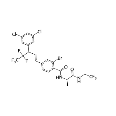 C[C@@H](NC(=O)c1ccc(/C=C/C(c2cc(Cl)cc(Cl)c2)C(F)(F)C(F)(F)F)cc1Br)C(=O)NCC(F)(F)F